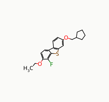 CCOc1ccc2c(sc3cc(OCC4CCCC4)ccc32)c1F